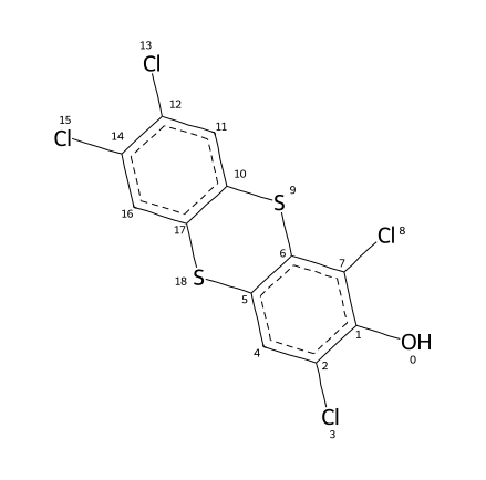 Oc1c(Cl)cc2c(c1Cl)Sc1cc(Cl)c(Cl)cc1S2